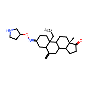 C=C1CC2C(CC[C@]3(C)C(=O)CCC23)[C@@]2(COC(C)=O)CCC(=NOC3CCNC3)CC12